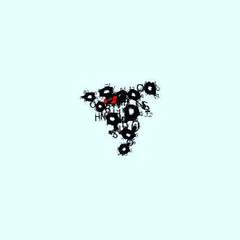 CSN1c2cc3c(cc2B2c4cc5c(cc4Oc4cc(Oc6ccccc6)cc1c42)N(SC)c1cc(Oc2ccccc2)cc2c1B5c1[nH]c4ccccc4c1O2)B1c2[nH]c4ccccc4c2N(c2ccccc2)c2cc(Oc4ccccc4)cc(c21)N3